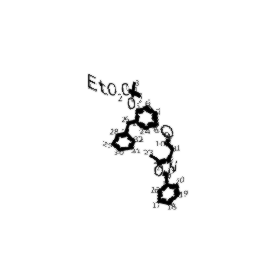 CCOC(=O)C(C)(C)Oc1ccc(OCCc2nc(-c3ccccc3)oc2C)cc1Cc1ccccc1